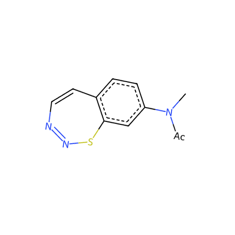 CC(=O)N(C)c1ccc2c(c1)SN=NC=C2